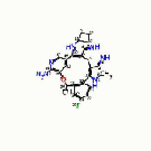 CN/C1=C(\C=N)C/C(C=N)=C(/NC2CCC2)c2cnc(N)c(c2)O[C@H](C)c2cc(F)ccc21